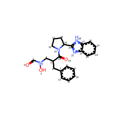 O=CN(O)CC(Cc1ccccc1)C(=O)N1CCCC1c1nc2ccccc2[nH]1